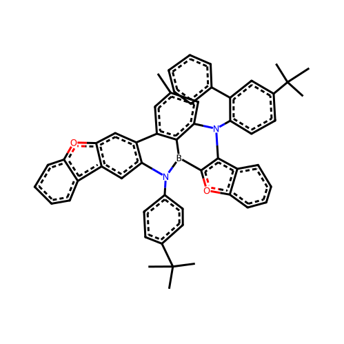 Cc1cc2c3c(c1)N(c1ccc(C(C)(C)C)cc1-c1ccccc1)c1c(oc4ccccc14)B3N(c1ccc(C(C)(C)C)cc1)c1cc3c(cc1-2)oc1ccccc13